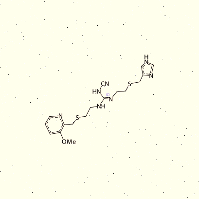 COc1cccnc1CSCCN/C(=N/CCSCc1c[nH]cn1)NC#N